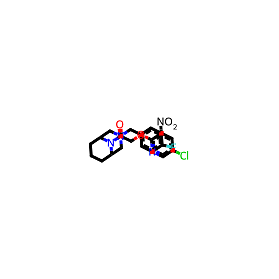 O=C(COc1ncc(Cl)cc1[N+](=O)[O-])N1C2CCCC1CN(Cc1ccc(F)cc1)C2